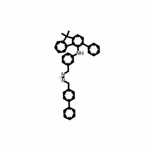 CC1(C)c2ccccc2-c2c1ccc(-c1ccccc1)c2Nc1cccc(C/N=N\Cc2ccc(-c3ccccc3)cc2)c1